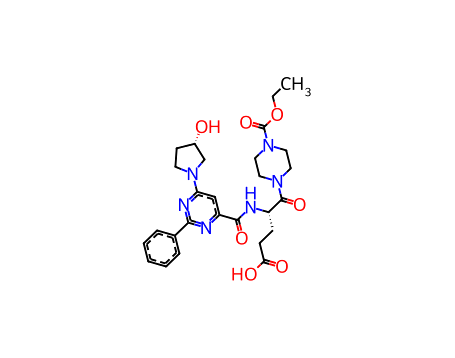 CCOC(=O)N1CCN(C(=O)[C@H](CCC(=O)O)NC(=O)c2cc(N3CC[C@H](O)C3)nc(-c3ccccc3)n2)CC1